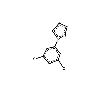 Clc1cc(Cl)cc(-n2cc[c]n2)c1